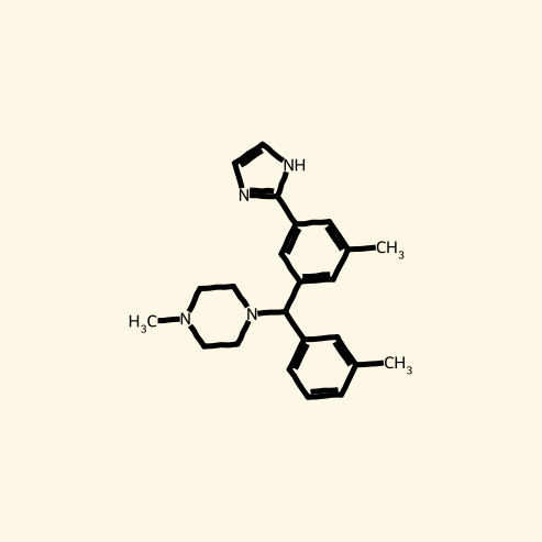 Cc1cccc(C(c2cc(C)cc(-c3ncc[nH]3)c2)N2CCN(C)CC2)c1